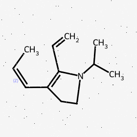 C=CC1=C(/C=C\C)CCN1C(C)C